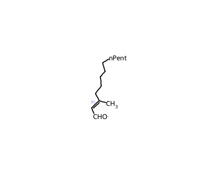 CCCCCCCCCC/C(C)=C/[C]=O